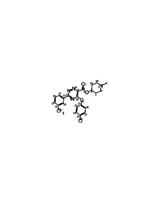 CN1CCC(OC(=O)c2nnc(-c3cccc(C(F)(F)F)c3)nc2Oc2ccc(Cl)cc2)CC1